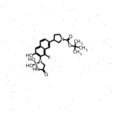 CC(C)(C)OC(=O)N1CCC(c2ccc3cc(O)c(N4CC(=O)NS4(O)O)c(F)c3c2)C1